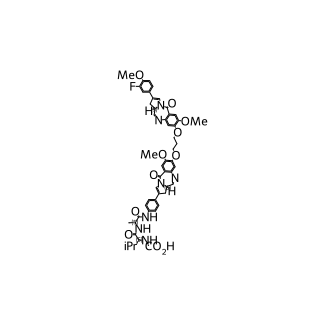 COc1ccc(C2=CN3C(=O)c4cc(OC)c(OCCCOc5cc6c(cc5OC)C(=O)N5C=C(c7ccc(NC(=O)[C@H](C)NC(=O)[C@@H](NC(=O)O)C(C)C)cc7)C[C@H]5C=N6)cc4N=C[C@@H]3C2)cc1F